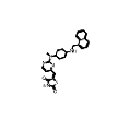 CN(c1nccc(C=C2SC(=O)NC2=O)n1)C1CCC(NCc2cccc3ccccc23)CC1